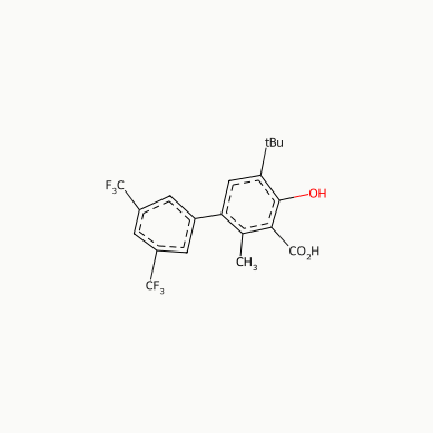 Cc1c(-c2cc(C(F)(F)F)cc(C(F)(F)F)c2)cc(C(C)(C)C)c(O)c1C(=O)O